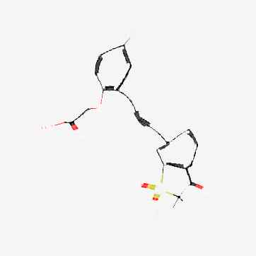 CC1(C)C(=O)c2ccc(C#Cc3cc(Cl)ccc3OCC(=O)O)cc2S1(=O)=O